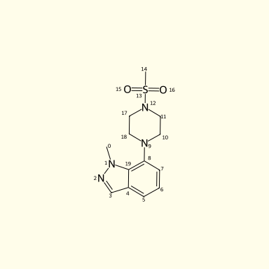 Cn1ncc2cccc(N3CCN(S(C)(=O)=O)CC3)c21